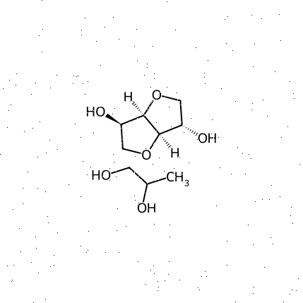 CC(O)CO.O[C@@H]1CO[C@H]2[C@@H]1OC[C@@H]2O